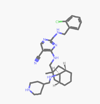 CC1(CNc2nc(NCc3ccccc3Cl)ncc2C#N)C[C@H]2CCC[C@@H](C1)[C@@H]2NCC1CCNCC1